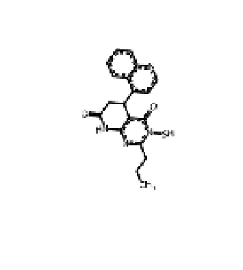 CCCc1nc2c(c(=O)n1S)C(c1ccnc3ccccc13)CC(=O)N2